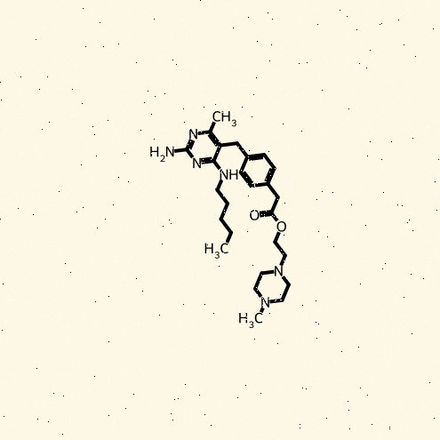 CCCCCNc1nc(N)nc(C)c1Cc1ccc(CC(=O)OCCN2CCN(C)CC2)cc1